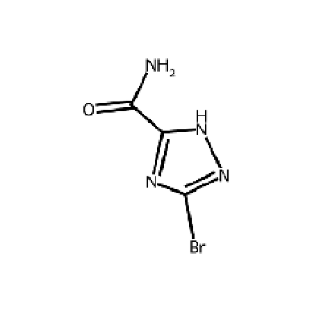 NC(=O)c1nc(Br)n[nH]1